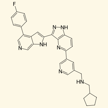 Fc1ccc(-c2cncc3[nH]c(-c4n[nH]c5ccc(-c6cncc(CNCC7CCCC7)c6)nc45)cc23)cc1